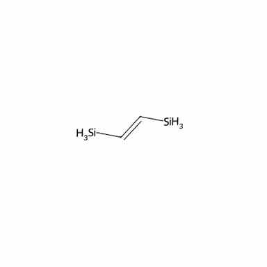 [SiH3]C=C[SiH3]